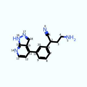 N#CC(CCN)c1cccc(-c2ccnc3[nH]ncc23)c1